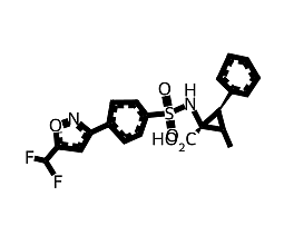 CC1[C@H](c2ccccc2)[C@]1(NS(=O)(=O)c1ccc(-c2cc(C(F)F)on2)cc1)C(=O)O